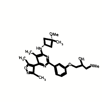 CNCC(O)COc1cccc(-c2nc(N[C@H]3C[C@@](C)(OC)C3)c(C)c(-c3c(C)noc3C)n2)c1